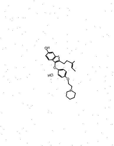 CC=C(C)CCc1sc2cc(O)ccc2c1Oc1ccc(OCCN2CCCCC2)cc1.Cl